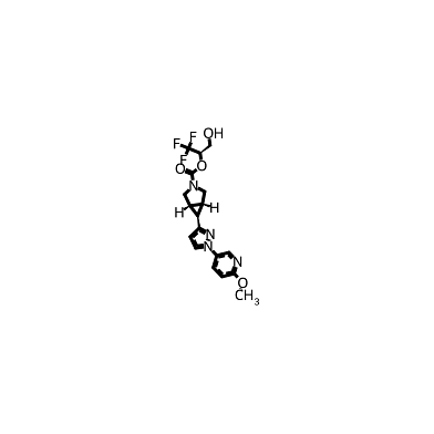 COc1ccc(-n2ccc([C@H]3[C@@H]4CN(C(=O)O[C@H](CO)C(F)(F)F)C[C@@H]43)n2)cn1